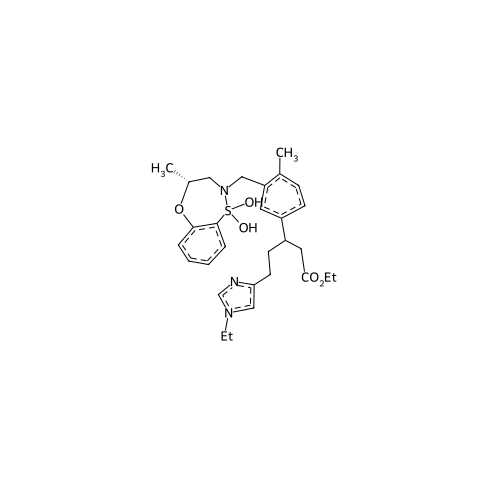 CCOC(=O)CC(CCc1cn(CC)cn1)c1ccc(C)c(CN2C[C@@H](C)Oc3ccccc3S2(O)O)c1